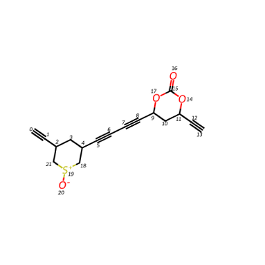 C#CC1CC(C#CC#CC2CC(C#C)OC(=O)O2)C[S+]([O-])C1